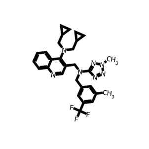 Cc1cc(CN(Cc2cnc3ccccc3c2N(CC2CC2)CC2CC2)c2nnn(C)n2)cc(C(F)(F)F)c1